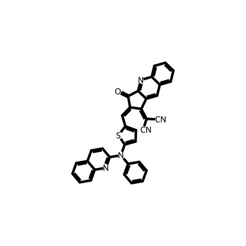 N#CC(C#N)=C1/C(=C\c2ccc(N(c3ccccc3)c3ccc4ccccc4n3)s2)C(=O)c2nc3ccccc3cc21